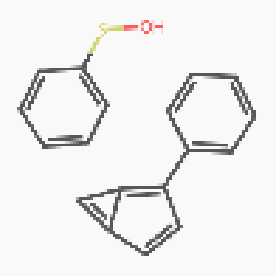 OSc1ccccc1.c1ccc(-c2ccc3cc2-3)cc1